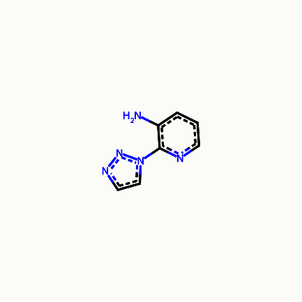 Nc1cccnc1-n1ccnn1